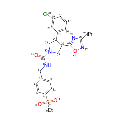 CCS(=O)(=O)c1ccc(CNC(=O)N2CC(c3cccc(Cl)c3)C(c3nc(C(C)C)no3)C2)cc1